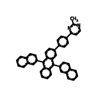 Cc1nccc(-c2ccc(-c3ccc4c(-c5ccc6ccccc6c5)c5ccccc5c(-c5ccc6ccccc6c5)c4c3)cc2)n1